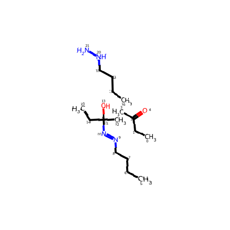 CCC(C)=O.CCCCN=NC(C)(O)CC.CCCCNN